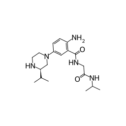 CC(C)NC(=O)CNC(=O)c1cc(N2CCN[C@H](C(C)C)C2)ccc1N